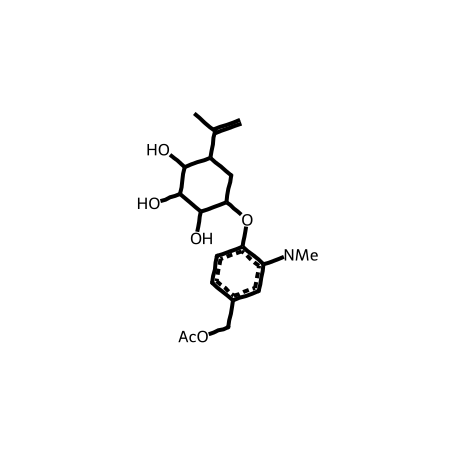 C=C(C)C1CC(Oc2ccc(COC(C)=O)cc2NC)C(O)C(O)C1O